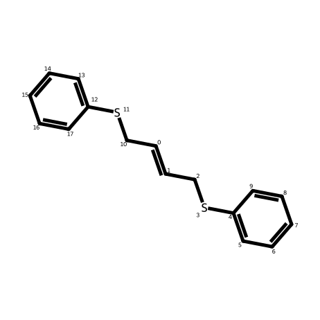 C(=CCSc1ccccc1)CSc1ccccc1